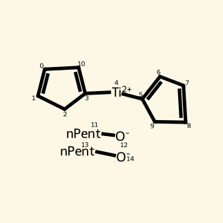 C1=CC[C]([Ti+2][C]2=CC=CC2)=C1.CCCCC[O-].CCCCC[O-]